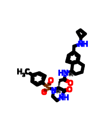 Cc1ccc(S(=O)(=O)N2CCNC(=O)[C@H]2CC(=O)N[C@@H]2CCCc3cc(CNC4CCC4)ccc32)cc1